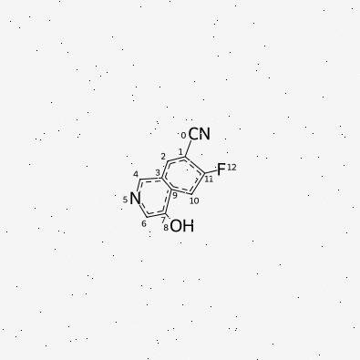 N#Cc1cc2cncc(O)c2cc1F